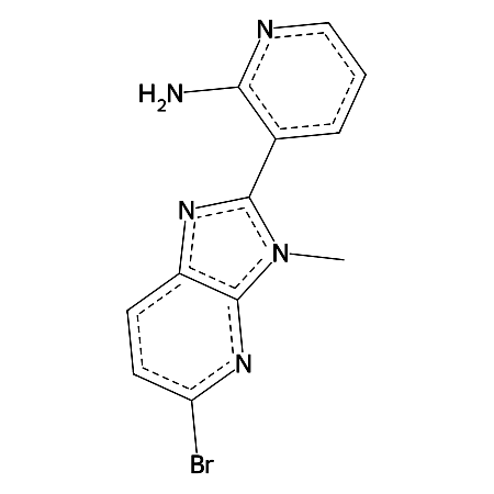 Cn1c(-c2cccnc2N)nc2ccc(Br)nc21